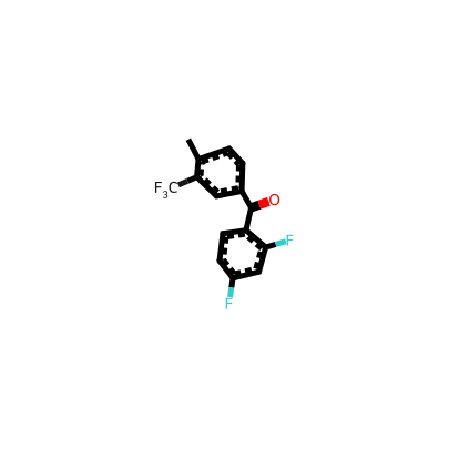 Cc1ccc(C(=O)c2ccc(F)cc2F)cc1C(F)(F)F